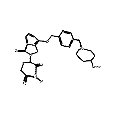 CC(=O)NC1CCN(Cc2ccc(COc3cccc4c3CN(C3CCC(=O)N(N)C3=O)C4=O)cc2)CC1